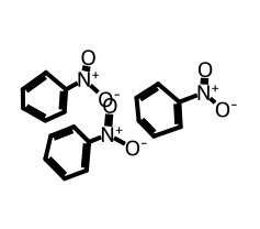 O=[N+]([O-])c1ccccc1.O=[N+]([O-])c1ccccc1.O=[N+]([O-])c1ccccc1